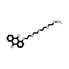 COCCOCCOCCOCCOc1cccc2c1C(=O)c1ccccc1C2=O